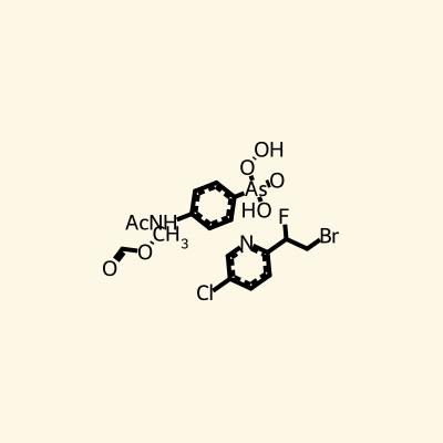 CC(=O)Nc1ccc([As](=O)(O)OO)cc1.COC=O.FC(CBr)c1ccc(Cl)cn1